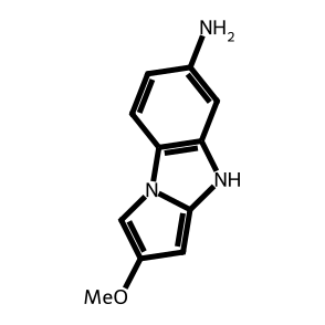 COc1cc2[nH]c3cc(N)ccc3n2c1